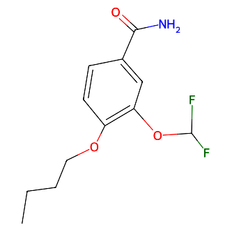 CCCCOc1ccc(C(N)=O)cc1OC(F)F